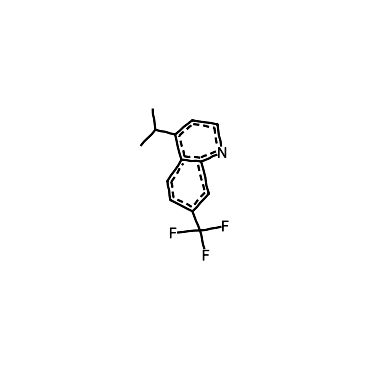 CC(C)c1ccnc2cc(C(F)(F)F)ccc12